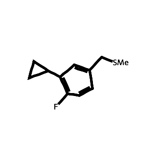 CSCc1ccc(F)c(C2CC2)c1